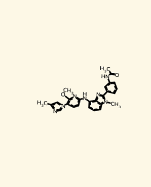 COc1nc(Nc2cccc3c2nc(-c2cccc(NC(C)=O)c2)n3C)ccc1-n1cnc(C)c1